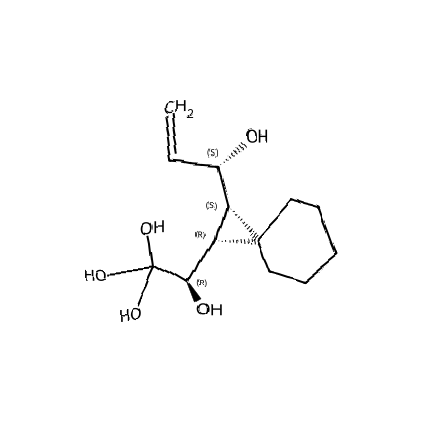 C=C[C@H](O)[C@H]1[C@@H]([C@@H](O)C(O)(O)O)C12CCCCC2